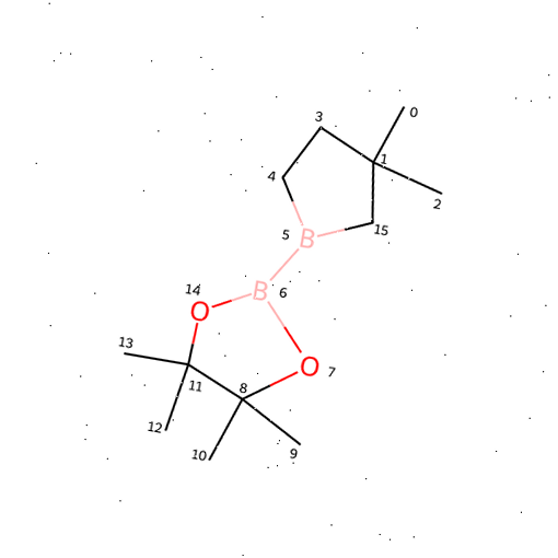 CC1(C)CCB(B2OC(C)(C)C(C)(C)O2)C1